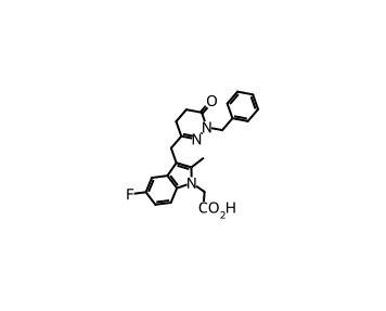 Cc1c(CC2=NN(Cc3ccccc3)C(=O)CC2)c2cc(F)ccc2n1CC(=O)O